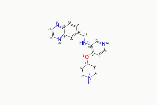 c1cc(OC2CCNCC2)c(NCc2ccc3nccnc3c2)cn1